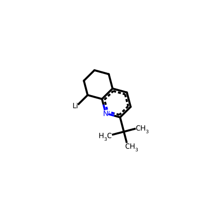 [Li][CH]1CCCc2ccc(C(C)(C)C)nc21